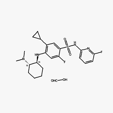 CN(C)[C@H]1CCCC[C@@H]1Nc1cc(F)c(S(=O)(=O)Nc2cccc(F)n2)cc1C1CC1.O=CO